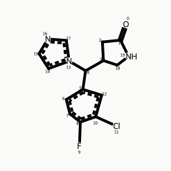 O=C1CC(C(c2ccc(F)c(Cl)c2)n2ccnc2)CN1